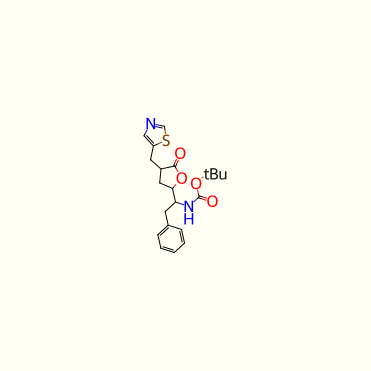 CC(C)(C)OC(=O)NC(Cc1ccccc1)C1CC(Cc2cncs2)C(=O)O1